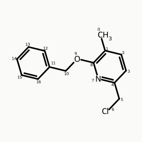 Cc1ccc(CCl)nc1OCc1ccccc1